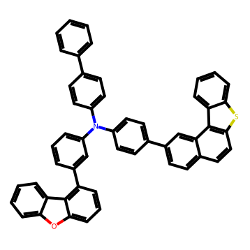 c1ccc(-c2ccc(N(c3ccc(-c4ccc5ccc6sc7ccccc7c6c5c4)cc3)c3cccc(-c4cccc5oc6ccccc6c45)c3)cc2)cc1